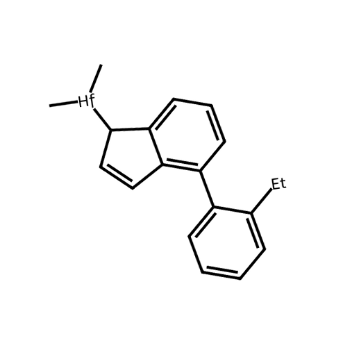 CCc1ccccc1-c1cccc2c1C=C[CH]2[Hf]([CH3])[CH3]